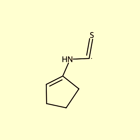 S=[C]NC1=CCCC1